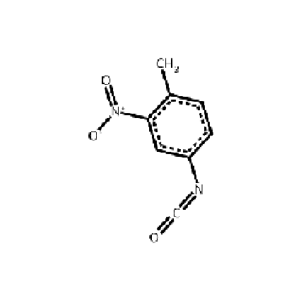 Cc1ccc(N=C=O)cc1[N+](=O)[O-]